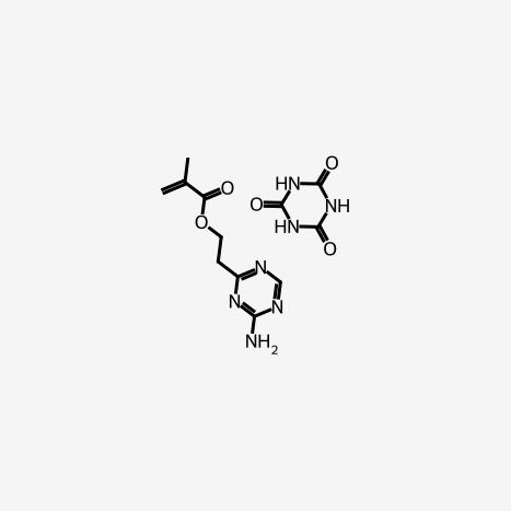 C=C(C)C(=O)OCCc1ncnc(N)n1.O=c1[nH]c(=O)[nH]c(=O)[nH]1